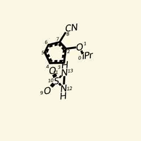 CC(C)Oc1ccccc1C#N.O=S1(=O)NN1